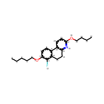 CCCCCOc1ccc2c(c1F)CCc1nc(OCCCC)ccc1-2